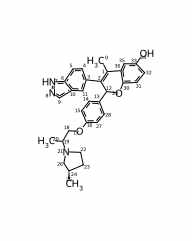 CC1=C(c2ccc3[nH]ncc3c2)C(c2ccc(OCC(C)N3CC[C@@H](C)C3)cc2)Oc2ccc(O)cc21